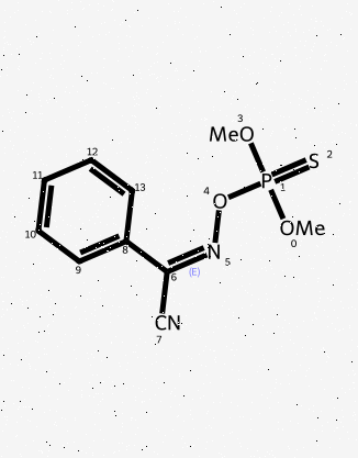 COP(=S)(OC)O/N=C(/C#N)c1ccccc1